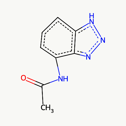 CC(=O)Nc1cccc2[nH]nnc12